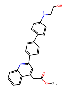 COC(=O)Cc1cc(-c2ccc(-c3ccc(NCCO)cc3)cc2)nc2ccccc12